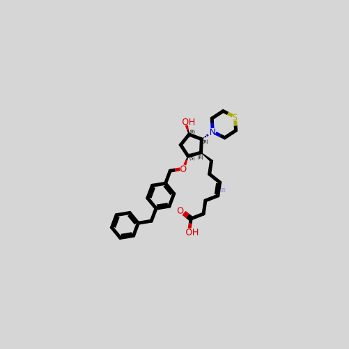 O=C(O)CC/C=C\CC[C@@H]1[C@@H](N2CCSCC2)[C@H](O)C[C@@H]1OCc1ccc(Cc2ccccc2)cc1